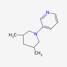 CC1CC(C)CN(c2cccnc2)C1